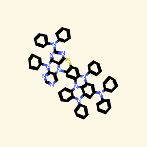 c1ccc(N(c2ccccc2)c2cc3c4c(c2)n(-c2ccccc2)c2cc5sc6nc(N(c7ccccc7)c7ccccc7)nc7c6n(c5cc2n4c2ccccc2n3-c2ccccc2)c2cncnc2n7-c2ccccc2)cc1